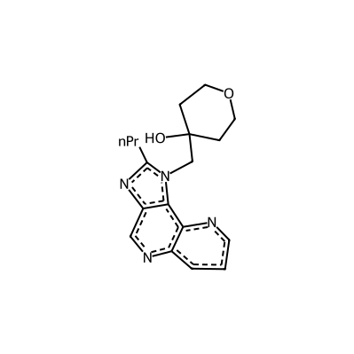 CCCc1nc2cnc3cccnc3c2n1CC1(O)CCOCC1